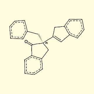 O=C1c2ccccc2C[C@]1(Cc1ccccc1)C1=Cc2ccccc2C1